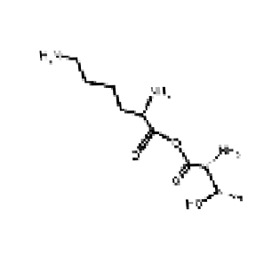 C[C@H](O)[C@@H](N)C(=O)OC(=O)[C@H](N)CCCCN